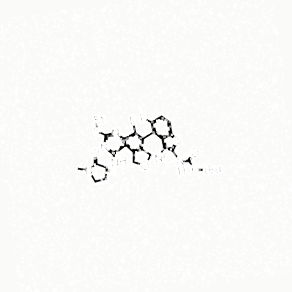 CCSc1nc(N[C@@H]2CCN(C)C2=O)c2c3c(c(-c4c(F)ccc5sc(NC(=O)OC(C)(C)C)c(C#N)c45)c(F)c2n1)COC3